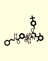 Cc1cccc(C)c1-c1cc(OCc2ccc(C(C)(C)C)cc2)nc(NS(=O)(=O)c2cccc(C(=O)NCCC3CCCCC3)c2)n1